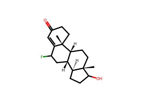 C[C@]12CCC(=O)C=C1C(F)C[C@@H]1[C@H]2CC[C@]2(C)C(O)CC[C@@H]12